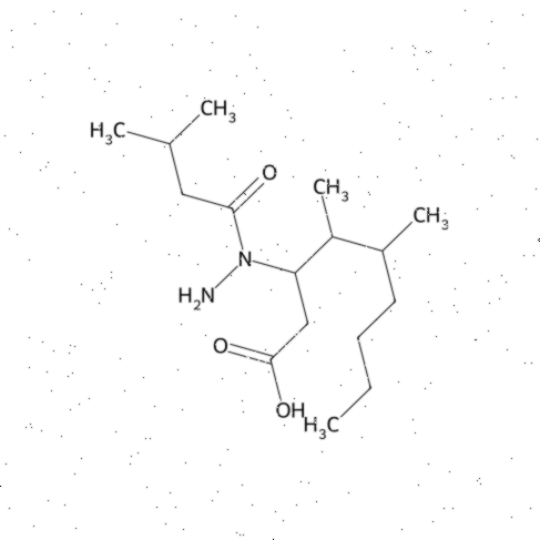 CCCCC(C)C(C)C(CC(=O)O)N(N)C(=O)CC(C)C